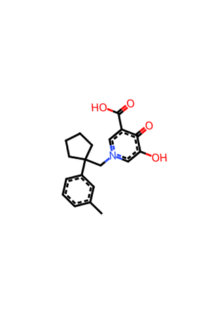 Cc1cccc(C2(Cn3cc(O)c(=O)c(C(=O)O)c3)CCCC2)c1